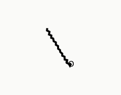 CCCCCCCCCCCCCCCCCCC=CC1=CO1